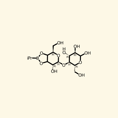 CC(C)B1OC2C(O1)[C@@H](CO)O[C@@H](O[C@H]1[C@H](O)[C@@H](O)C(O)O[C@@H]1CO)[C@@H]2O